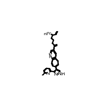 C=CC(CCC)CCCC(=C)c1cnc2c(c1)CC=C(c1c[nH]nc1-c1cccc(C)n1)C=C2